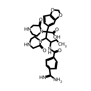 CCC(NC(=O)c1ccc(C(=N)N)cc1)C(N1CCNCC1=O)C(C(=O)O)(c1ccc2c(c1)OCO2)N1CCNCC1=O